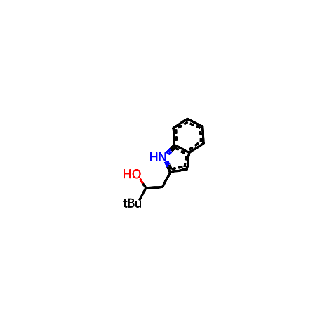 CC(C)(C)C(O)Cc1cc2ccccc2[nH]1